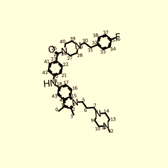 Cc1c(C)n(CCCN2CCN(C)CC2)c2ccc(Nc3ccc(C(=O)N4CCN(CCc5ccc(F)cc5)CC4)cc3)cc12